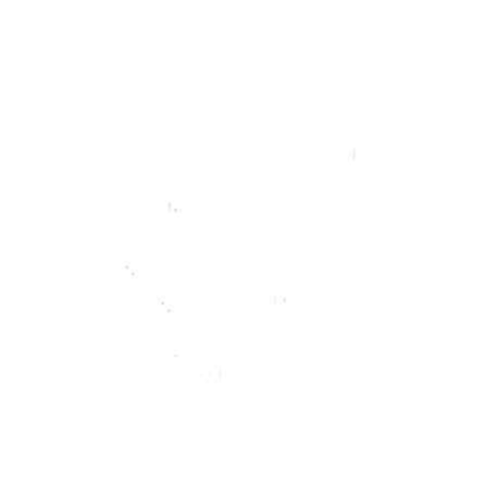 CCOCCOc1cc(CN2CC3(CC(N4CCC(C)(C(=O)OCC)CC4)=NO3)C2)cc(C2CC2)c1-c1ccc(F)cc1